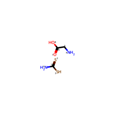 NC(=S)S.NCC(=O)O